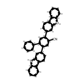 N#Cc1cc(-c2ccc3c(c2)sc2ccccc23)c(-c2ccccc2)cc1-c1ccc2c(c1)oc1ccccc12